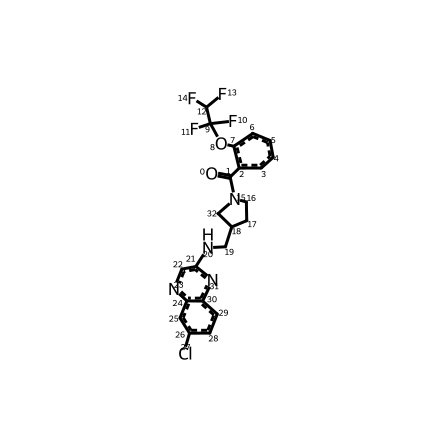 O=C(c1ccccc1OC(F)(F)C(F)F)N1CCC(CNc2cnc3cc(Cl)ccc3n2)C1